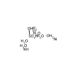 O.O.O.O.O.O.O=S(=O)(O)O.[KH].[Ni]